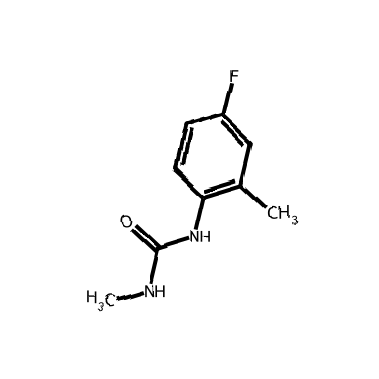 CNC(=O)Nc1ccc(F)cc1C